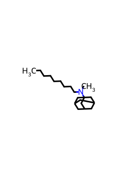 CCCCCCCCCN(C)C12CC3CC(CC(C3)C1)C2